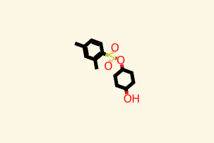 Cc1ccc(S(=O)(=O)OC2CCC(O)CC2)c(C)c1